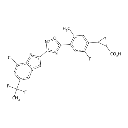 Cc1cc(C2CC2C(=O)O)c(F)cc1-c1nc(-c2cn3cc(C(C)(F)F)cc(Cl)c3n2)no1